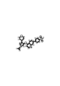 CS(=O)(=O)c1ccc(-c2ccc3c(Oc4cn(C5CC5)nc4C4CCOCC4)ccnc3c2)cc1